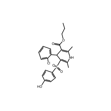 CCCOC(=O)C1=C(C)NC(C)=C(S(=O)(=O)c2ccc(O)cc2)C1c1ccccc1Cl